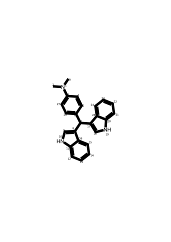 CN(C)c1ccc(C(c2c[nH]c3ccccc23)c2c[nH]c3ccccc23)cc1